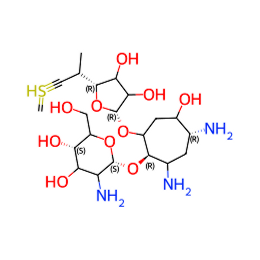 C=[SH]#CC(C)[C@H]1O[C@@H](OC2CC(O)[C@H](N)CC(N)[C@H]2O[C@H]2OC(CO)[C@@H](O)C(O)C2N)C(O)C1O